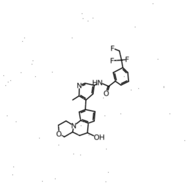 Cc1ncc(NC(=O)c2cccc(C(F)(F)CF)c2)cc1-c1ccc2c(c1)N1CCOCC1CC2O